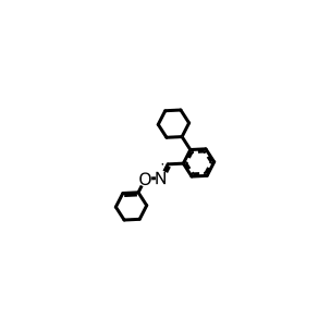 [C](=NOC1=CCCCC1)c1ccccc1C1CCCCC1